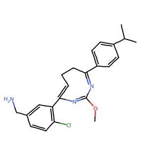 COC1=N/C(c2cc(CN)ccc2Cl)=C/CC/C(c2ccc(C(C)C)cc2)=N\1